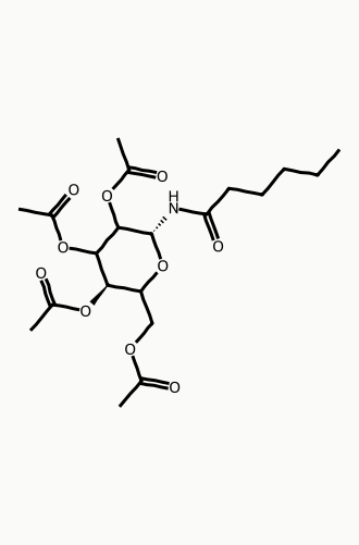 CCCCCC(=O)N[C@@H]1OC(COC(C)=O)[C@@H](OC(C)=O)C(OC(C)=O)C1OC(C)=O